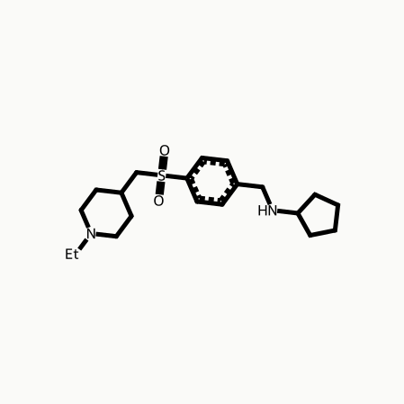 CCN1CCC(CS(=O)(=O)c2ccc(CNC3CCCC3)cc2)CC1